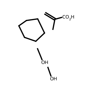 C1CCCCC1.C=C(C)C(=O)O.CO.CO